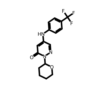 O=c1cc(Nc2ccc(C(F)(F)F)cc2)cnn1C1CCCCO1